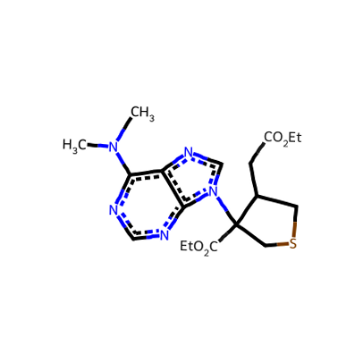 CCOC(=O)CC1CSCC1(C(=O)OCC)n1cnc2c(N(C)C)ncnc21